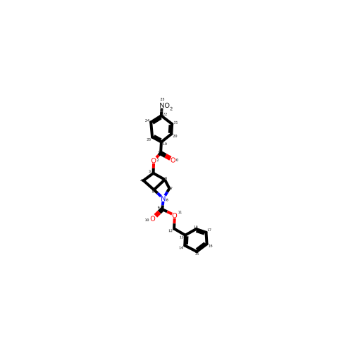 O=C(OC1CC2C1CN2C(=O)OCc1ccccc1)c1ccc([N+](=O)[O-])cc1